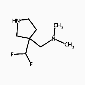 CN(C)CC1(C(F)F)CCNC1